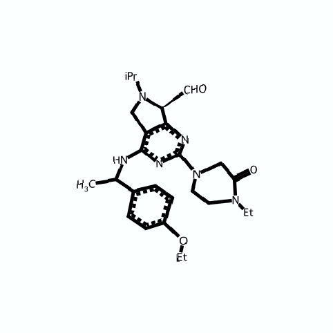 CCOc1ccc(C(C)Nc2nc(N3CCN(CC)C(=O)C3)nc3c2CN(C(C)C)[C@H]3C=O)cc1